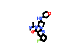 C/N=C(/C)NC(=O)c1cc2c(F)cccc2nc1N1CCC(NC2CCOCC2)CC1